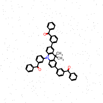 CC1(C)c2cc(-c3cccc(C(=O)c4ccccc4)c3)ccc2N(c2cccc(C(=O)c3ccccc3)c2)c2ccc(-c3cccc(C(=O)c4ccccc4)c3)cc21